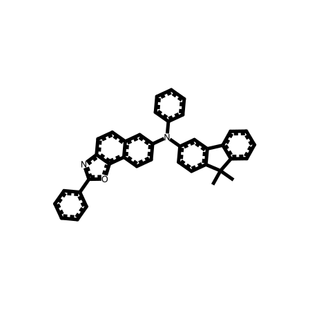 CC1(C)c2ccccc2-c2cc(N(c3ccccc3)c3ccc4c(ccc5nc(-c6ccccc6)oc54)c3)ccc21